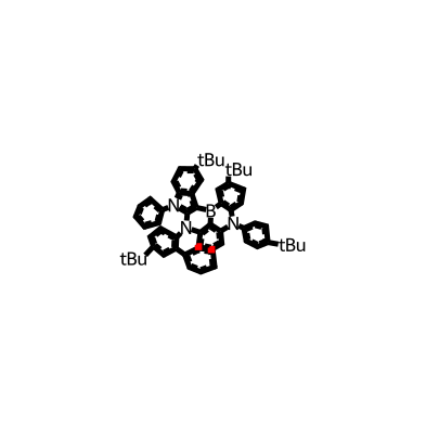 CC(C)(C)c1ccc(N2c3ccc(C(C)(C)C)cc3B3c4c2cccc4N(c2ccc(C(C)(C)C)cc2-c2ccccc2)c2c3c3cc(C(C)(C)C)ccc3n2-c2ccccc2)cc1